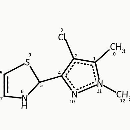 Cc1c(Cl)c(C2NC=CS2)nn1C